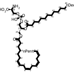 CCCCC/C=C\C/C=C\C/C=C\C/C=C\CCCCCC(=O)OC[C@H](COP(=O)(O)OC[C@H](N)C(=O)O)OC(=O)CCCCCCCCCCCCCCCCCCCCC